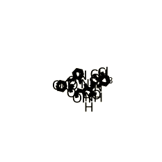 COc1c(Cl)cccc1NC(=S)C1=C(NCc2ncccc2OC[C@@H]2COCCN2C(=O)O)C(CCO)CNC1=O